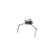 CCCCCCCC/C=C\CCCCCCCC(=O)NCC(NC(=O)CCCCCCC/C=C\CCCCCCCC)C(C)=O